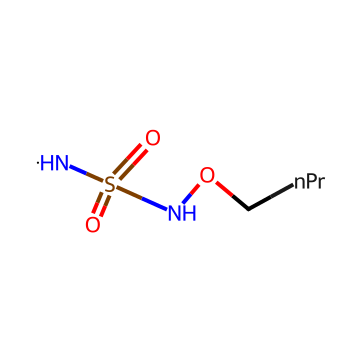 CCCCONS([NH])(=O)=O